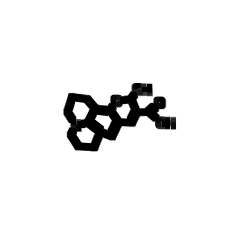 O=C(O)C1=Cc2cc3c4c(c2OC1O)CCCN4CCC3